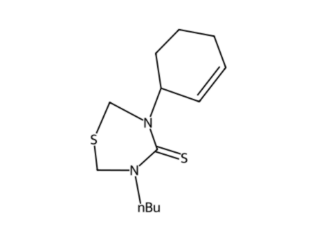 CCCCN1CSCN(C2C=CCCC2)C1=S